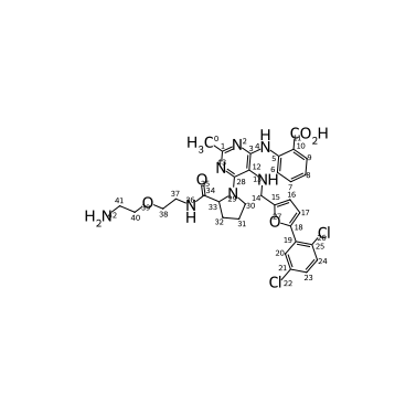 Cc1nc(Nc2ccccc2C(=O)O)c(NCc2ccc(-c3cc(Cl)ccc3Cl)o2)c(N2CCCC2C(=O)NCCOCCN)n1